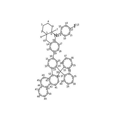 CC12CCCCC1(C)N(c1ccc(F)cc1)c1ccc(-c3ccc4c(c3)C(c3ccccc3)(c3ccccc3)c3ccc5c(ccc6ccccc65)c3-4)cc1C2